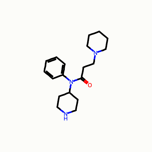 O=C(CCN1CCCCC1)N(c1ccccc1)C1CCNCC1